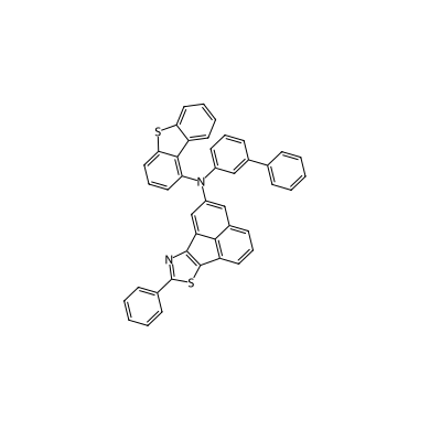 c1ccc(-c2cccc(N(c3cc4c5c(cccc5c3)-c3sc(-c5ccccc5)nc3-4)c3cccc4sc5ccccc5c34)c2)cc1